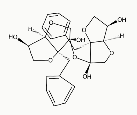 O[C@@H]1CO[C@@]2(Cc3ccccc3)[C@@H]1OC[C@]2(O)O[C@@]1(O)CO[C@@H]2[C@H](O)CO[C@@]21Cc1ccccc1